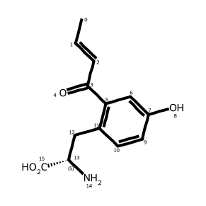 CC=CC(=O)c1cc(O)ccc1C[C@H](N)C(=O)O